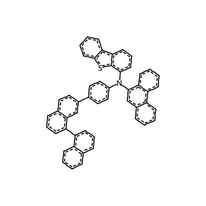 c1ccc2c(-c3cccc4ccc(-c5ccc(N(c6cc7ccccc7c7ccccc67)c6cccc7c6sc6ccccc67)cc5)cc34)cccc2c1